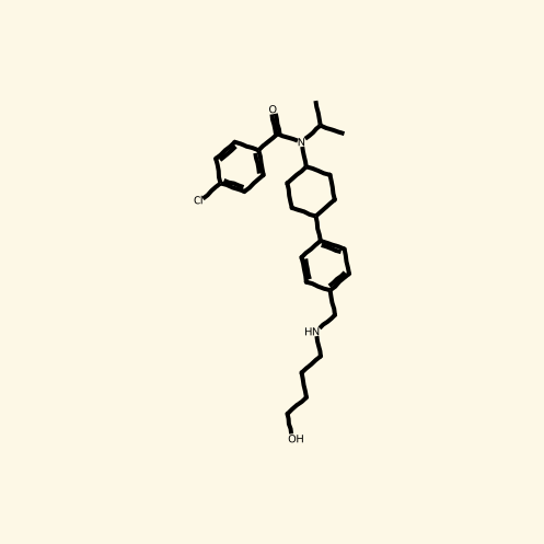 CC(C)N(C(=O)c1ccc(Cl)cc1)C1CCC(c2ccc(CNCCCCO)cc2)CC1